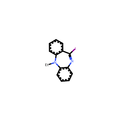 CCN1c2ccccc2N=C(I)c2ccccc21